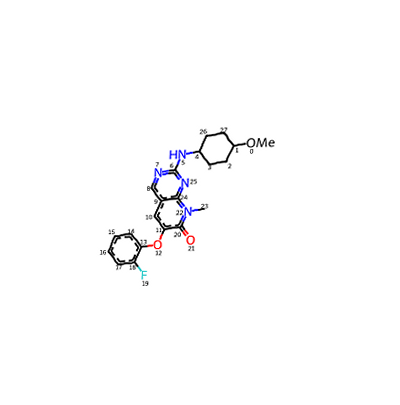 COC1CCC(Nc2ncc3cc(Oc4ccccc4F)c(=O)n(C)c3n2)CC1